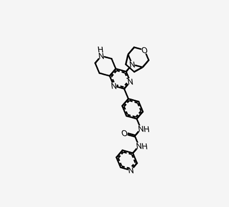 O=C(Nc1ccc(-c2nc3c(c(N4C5CCC4COC5)n2)CNCC3)cc1)Nc1cccnc1